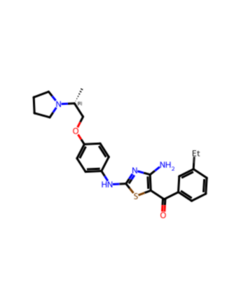 CCc1cccc(C(=O)c2sc(Nc3ccc(OC[C@@H](C)N4CCCC4)cc3)nc2N)c1